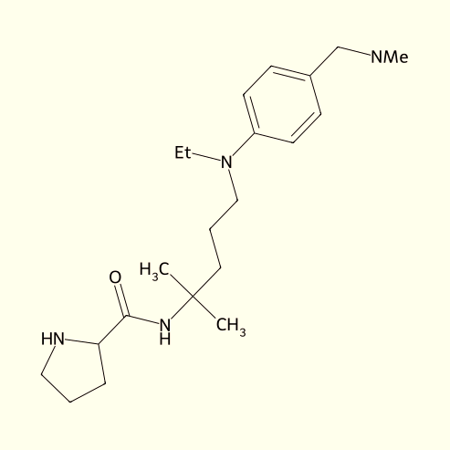 CCN(CCCC(C)(C)NC(=O)C1CCCN1)c1ccc(CNC)cc1